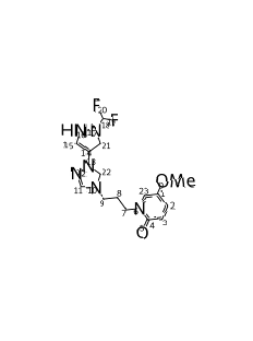 COc1ccc(=O)n(CCCN2C=NN(C3=CNN(C(F)F)C3)C2)c1